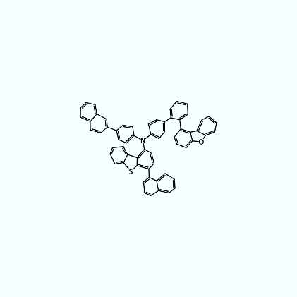 c1ccc(-c2cccc3oc4ccccc4c23)c(-c2ccc(N(c3ccc(-c4ccc5ccccc5c4)cc3)c3ccc(-c4cccc5ccccc45)c4sc5ccccc5c34)cc2)c1